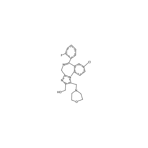 OCc1nc2n(c1CN1CCOCC1)-c1ccc(Cl)cc1C(c1ccccc1F)=NC2